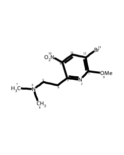 COc1nc(CCN(C)C)c([N+](=O)[O-])cc1Br